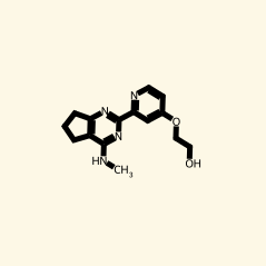 CNc1nc(-c2cc(OCCO)ccn2)nc2c1CCC2